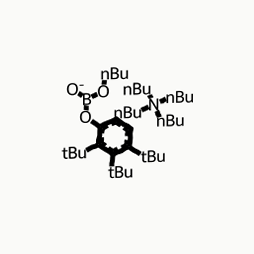 CCCCOB([O-])Oc1ccc(C(C)(C)C)c(C(C)(C)C)c1C(C)(C)C.CCCC[N+](CCCC)(CCCC)CCCC